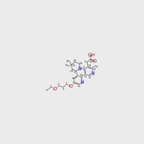 CCOCCCOc1ccc(-c2cnc(C)c(CC(=O)O)c2N2CCC(C)(C)CC2)nc1